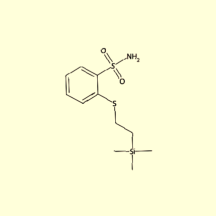 C[Si](C)(C)CCSc1ccccc1S(N)(=O)=O